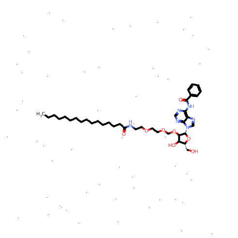 CCCCCCCCCCCCCCCC(=O)NCCOCCOCOC1C(O)[C@@H](CO)O[C@H]1n1cnc2c(NC(=O)c3ccccc3)ncnc21